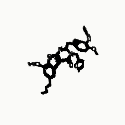 CCCCc1cc(O)c2sc3nc(Cc4ccc(OC)c(OC)c4)n(Cc4ccco4)c(=O)c3c2c1